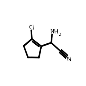 N#CC(N)C1=C(Cl)CCC1